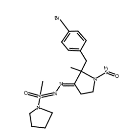 CC1(Cc2ccc(Br)cc2)C(=NN=S(C)(=O)N2CCCC2)CCN1[SH]=O